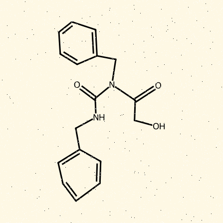 O=C(CO)N(Cc1ccccc1)C(=O)NCc1ccccc1